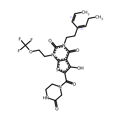 C/C=C\C(=C/CC)CCn1c(=O)c2c(O)c(C(=O)N3CCNC(=O)C3)sc2n(CCOC(F)(F)F)c1=O